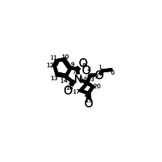 CCOC(=O)C1(N2C(=O)c3ccccc3C2=O)CC(=O)C1